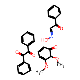 COC1=CC=CC(=O)C1OC.O=C(C(=O)c1ccccc1)c1ccccc1.O=C(C=NO)c1ccccc1